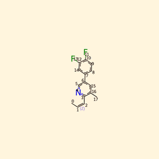 C/C=C\c1ncc(-c2ccc(F)c(F)c2)cc1C